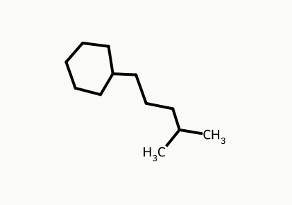 CC(C)CCCC1CCCCC1